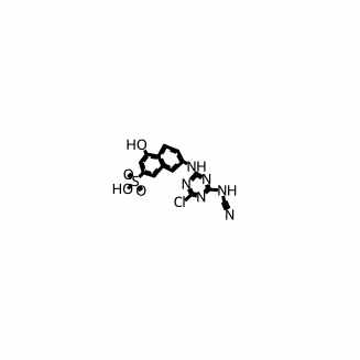 N#CNc1nc(Cl)nc(Nc2ccc3c(O)cc(S(=O)(=O)O)cc3c2)n1